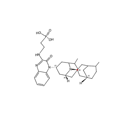 CC1CC[C@H]2CC1C[C@H](N1C3C[C@@H](n4c(=O)c(NCCP(=O)(O)O)nc5ccccc54)C[C@H]1CCC3C)C2